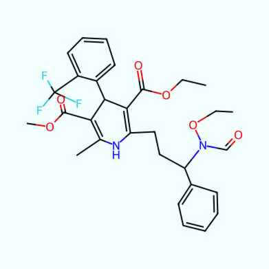 CCOC(=O)C1=C(CCC(c2ccccc2)N(C=O)OCC)NC(C)=C(C(=O)OC)C1c1ccccc1C(F)(F)F